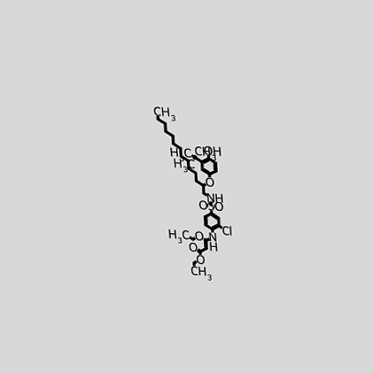 CCCCCCCCCCCCC(CNS(=O)(=O)c1ccc(NC(=CC(=O)OCC)OCC)c(Cl)c1)Oc1ccc(O)c(C(C)(C)C)c1